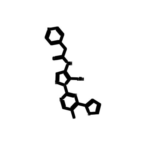 CCCCc1c(NC(=O)Cc2ccncc2)cnn1-c1ncc(C)c(-c2cccs2)n1